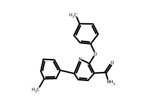 Cc1ccc(Oc2nc(-c3cccc(C)c3)ccc2C(N)=O)cc1